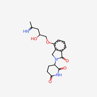 CC(=N)CC(O)COc1cccc2c1CN(C1CCC(=O)NC1=O)C2=O